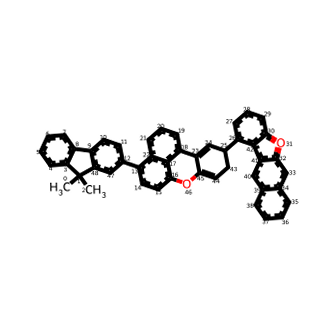 CC1(C)c2ccccc2-c2ccc(-c3ccc4c5c(cccc35)C3=CC(c5cccc6oc7cc8ccccc8cc7c56)CC=C3O4)cc21